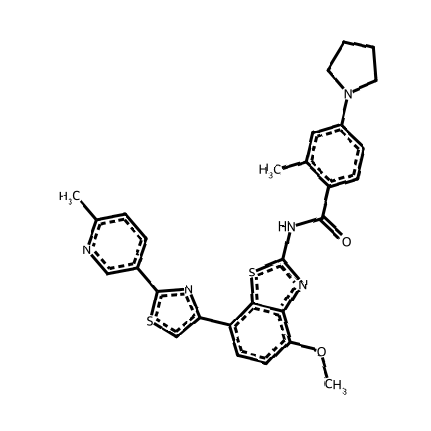 COc1ccc(-c2csc(-c3ccc(C)nc3)n2)c2sc(NC(=O)c3ccc(N4CCCC4)cc3C)nc12